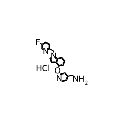 Cl.NCc1ccnc(Oc2cccc3c2ccn3Cc2ccc(F)cn2)c1